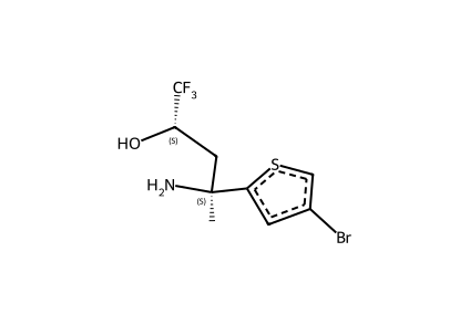 C[C@](N)(C[C@H](O)C(F)(F)F)c1cc(Br)cs1